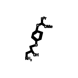 CCCC(OC)Oc1ccc(OCC(O)CN)cc1